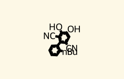 CCCCc1ccccc1-c1c(C#N)cc(O)c(O)c1C#N